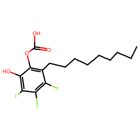 CCCCCCCCCc1c(F)c(F)c(F)c(O)c1OC(=O)O